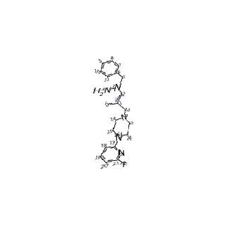 C/C(=C\N(N)Cc1ccccc1)CN1CCN(c2cccc(F)n2)CC1